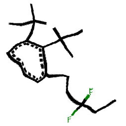 CCC(F)(F)CCc1cccc(C(C)(C)C)c1C(C)(C)C